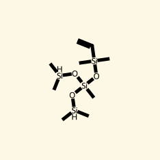 C=C[Si](C)(C)O[Si](C)(O[SiH](C)C)O[SiH](C)C